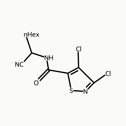 CCCCCCC(C#N)NC(=O)c1snc(Cl)c1Cl